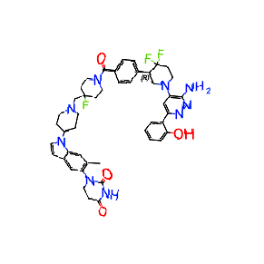 Cc1cc2c(ccn2C2CCN(CC3(F)CCN(C(=O)c4ccc([C@@H]5CN(c6cc(-c7ccccc7O)nnc6N)CCC5(F)F)cc4)CC3)CC2)cc1N1CCC(=O)NC1=O